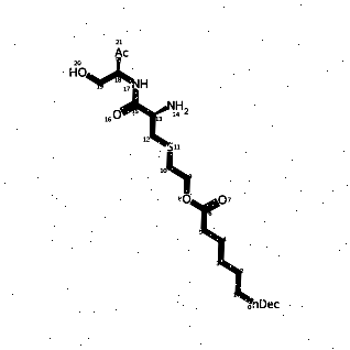 CCCCCCCCCCCCCCCC(=O)OCCSC[C@H](N)C(=O)N[C@@H](CO)C(C)=O